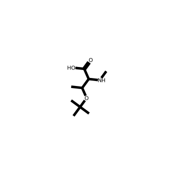 CNC(C(=O)O)C(C)OC(C)(C)C